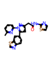 Cc1cccc(-n2nc(CC(=O)Nc3nccs3)cc2-c2ccc3ncsc3c2)n1